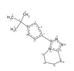 CC(C)(C)c1ccc(-c2nnc3n2CCCS3)cc1